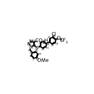 COc1ccc(Cn2nnc(C(=O)O)c2Sc2ccc(-c3ccc(OC(F)(F)F)c(Cl)c3)cc2)cc1